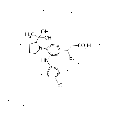 CCc1ccc(Nc2cc(C(CC)CC(=O)O)ccc2N2CCCC2C(C)(C)O)cc1